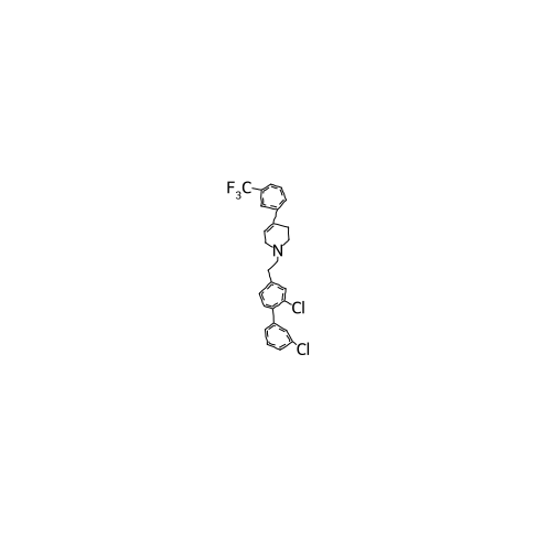 FC(F)(F)c1cccc(C2=CCN(CCc3ccc(-c4cccc(Cl)c4)c(Cl)c3)CC2)c1